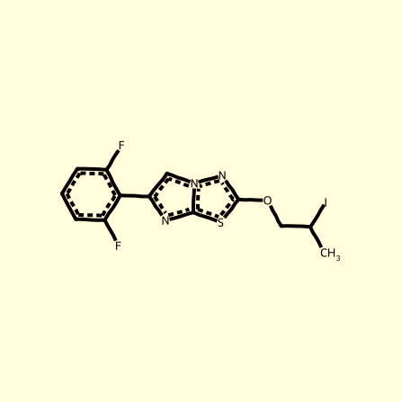 CC(I)COc1nn2cc(-c3c(F)cccc3F)nc2s1